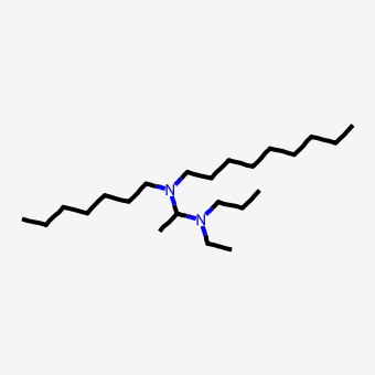 CCCCCCCCCN(CCCCCCC)C(C)N(CC)CCC